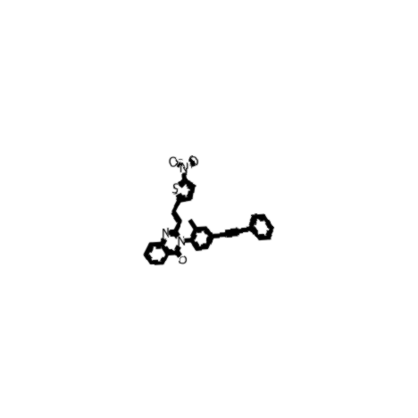 Cc1cc(C#Cc2ccccc2)ccc1-n1c(C=Cc2ccc([N+](=O)[O-])s2)nc2ccccc2c1=O